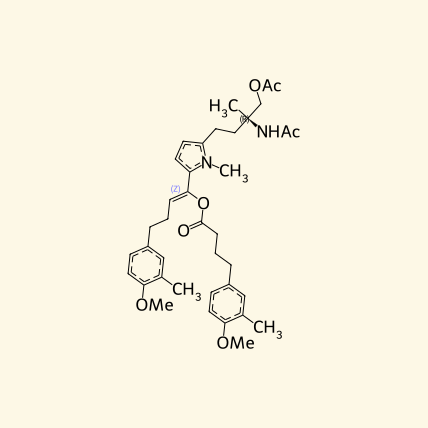 COc1ccc(CC/C=C(\OC(=O)CCCc2ccc(OC)c(C)c2)c2ccc(CC[C@](C)(COC(C)=O)NC(C)=O)n2C)cc1C